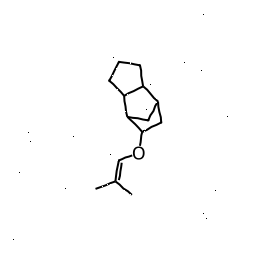 CC(C)=COC1CC2CC1C1CCCC21